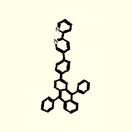 c1ccc(-c2c3ccccc3c(-c3ccccc3)c3cc(-c4ccc(-c5ccc(-c6ccccn6)nc5)cc4)ccc23)cc1